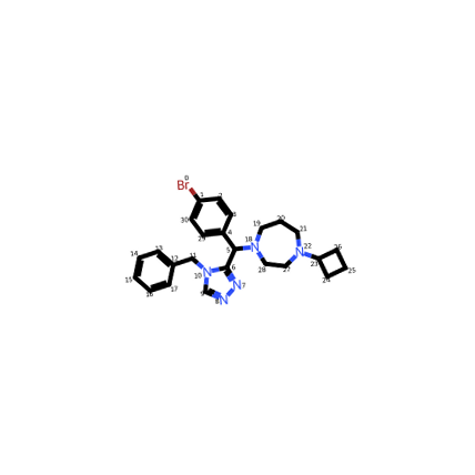 Brc1ccc(C(c2nncn2Cc2ccccc2)N2CCCN(C3CCC3)CC2)cc1